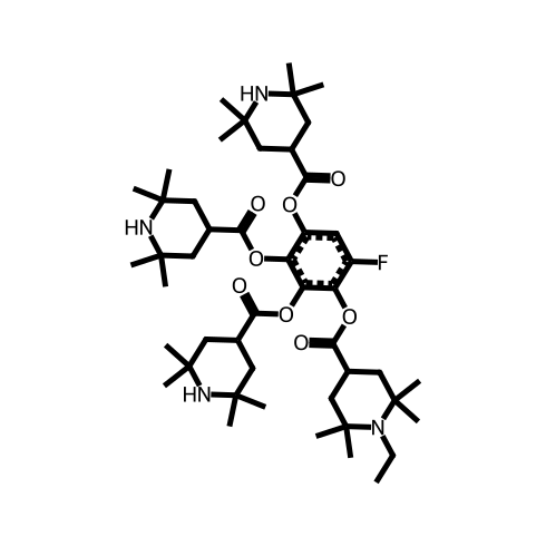 CCN1C(C)(C)CC(C(=O)Oc2c(F)cc(OC(=O)C3CC(C)(C)NC(C)(C)C3)c(OC(=O)C3CC(C)(C)NC(C)(C)C3)c2OC(=O)C2CC(C)(C)NC(C)(C)C2)CC1(C)C